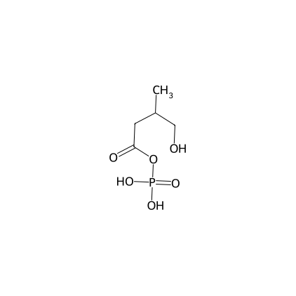 CC(CO)CC(=O)OP(=O)(O)O